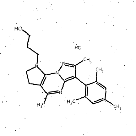 Cc1cc(C)c(-c2c(C)nn3c4c(c(C)nc23)CCN4CCCO)c(C)c1.Cl